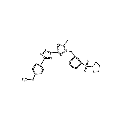 Cc1nc(-c2nc(-c3ccc(OC(F)(F)F)cc3)no2)nn1Cc1cccc(S(=O)(=O)N2CCCC2)c1